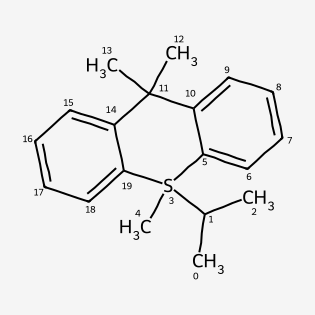 CC(C)S1(C)c2ccccc2C(C)(C)c2ccccc21